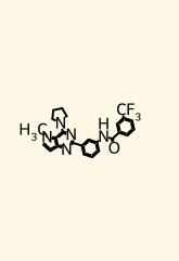 Cn1ccc2nc(-c3cccc(NC(=O)c4cccc(C(F)(F)F)c4)c3)nc(N3CCCC3)c21